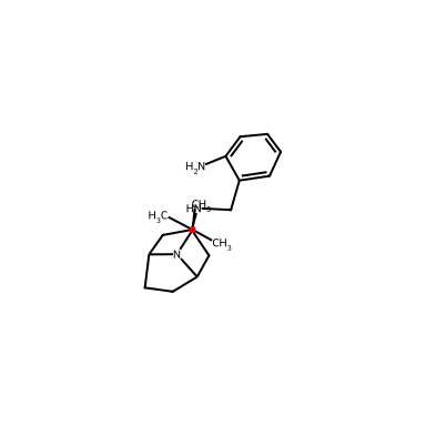 CC(C)(C)N1C2CCC1CC(NCc1ccccc1N)C2